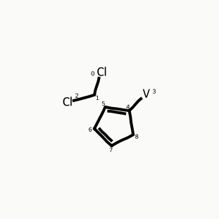 ClCCl.[V][C]1=CC=CC1